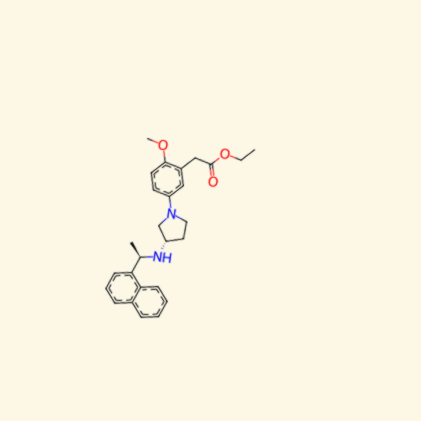 CCOC(=O)Cc1cc(N2CC[C@H](N[C@H](C)c3cccc4ccccc34)C2)ccc1OC